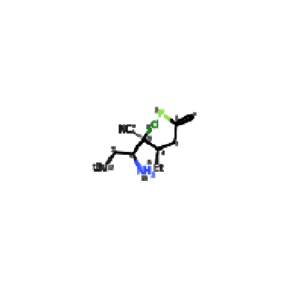 C=C(F)C[C@@H](CC)[C@@](Cl)(C#N)[C@@H](N)CC(C)(C)C